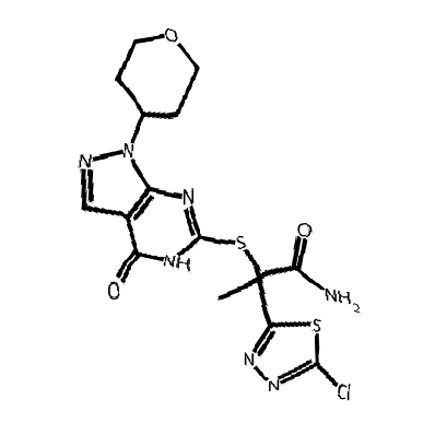 CC(Sc1nc2c(cnn2C2CCOCC2)c(=O)[nH]1)(C(N)=O)c1nnc(Cl)s1